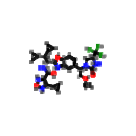 COC[C@@H](c1ccc2oc([C@H](NC(=O)c3nonc3C3CC3)C(C3CC3)C3CC3)nc2c1)N1C[C@@H](C(F)(F)F)NC1=O